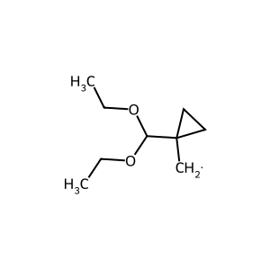 [CH2]C1(C(OCC)OCC)CC1